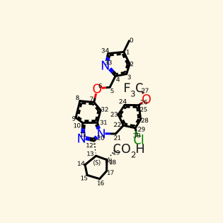 Cc1ccc(COc2ccc3nc([C@H]4CCCC[C@H]4C(=O)O)n(Cc4ccc(OC(F)(F)F)cc4Cl)c3c2)nc1